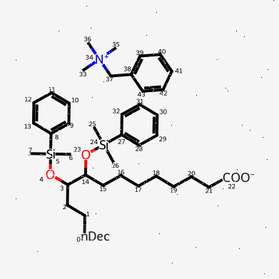 CCCCCCCCCCCCC(O[Si](C)(C)c1ccccc1)C(CCCCCCCC(=O)[O-])O[Si](C)(C)c1ccccc1.C[N+](C)(C)Cc1ccccc1